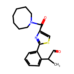 CC(C=O)c1ccccc1-c1nc(C(=O)N2CCCCCCC2)cs1